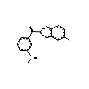 C=C(c1cccc([N+](=O)[O-])c1)c1nc2cc(F)ccc2s1